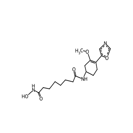 COC1=C(c2cnco2)CCC(NC(=O)CCCCCCC(=O)NO)C1